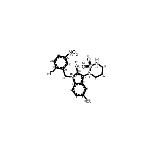 CCc1ccc2c(c1)c(N1CCCNS1(=O)=O)c(C(C)=O)n2Cc1cc([N+](=O)[O-])ccc1F